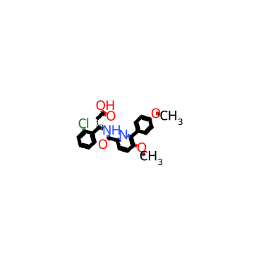 COc1ccc(-c2nc(C(=O)N[C@@H](CC(=O)O)c3ccccc3Cl)ccc2OC)cc1